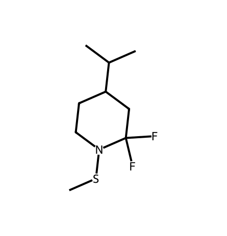 CSN1CCC(C(C)C)CC1(F)F